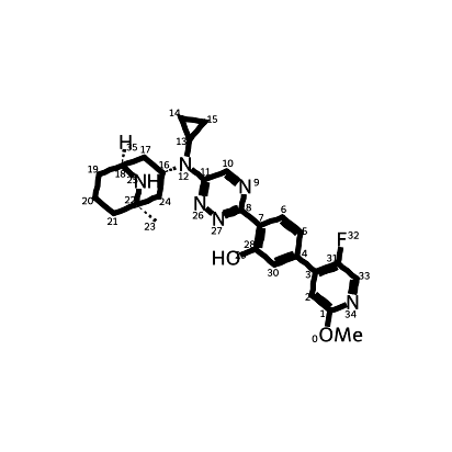 COc1cc(-c2ccc(-c3ncc(N(C4CC4)[C@H]4C[C@@H]5CCC[C@](C)(C4)N5)nn3)c(O)c2)c(F)cn1